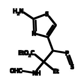 CCOC(=O)C(CC)(NC=O)C(P=S)c1csc(N)n1